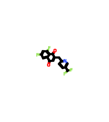 O=C1C=C(Cc2ccc(C(F)F)cn2)C(=O)c2c(F)cc(F)cc21